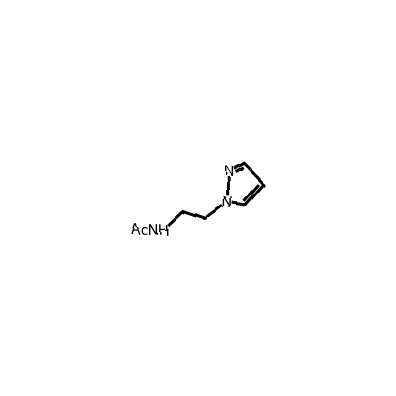 CC(=O)NCCn1cccn1